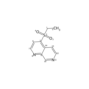 CCS(=O)(=O)c1ccnc2cnccc12